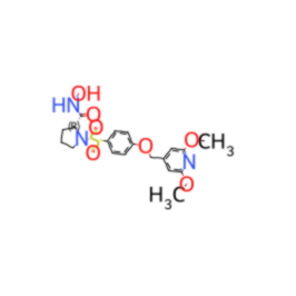 COc1cc(COc2ccc(S(=O)(=O)N3CCC[C@@H]3C(=O)NO)cc2)cc(OC)n1